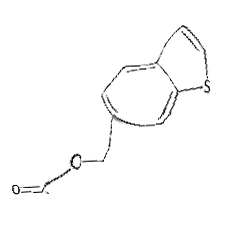 O=[C]OCc1ccc2ccsc2c1